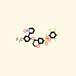 O=S(=O)(Oc1c(F)c(F)c(F)c(F)c1F)c1ccc2c(c1)OCC[C@H]2Oc1ccc(C(F)(F)F)cc1-c1cccc[n+]1[O-]